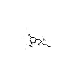 CCCCC(Cc1cc(C(C)(C)C)cc(C(C)(C)C)c1)(C(=O)O)C(=O)O